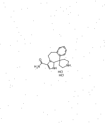 Cl.Cl.NC(=O)C1=CNC2N1CCc1ccccc1C21CCNCC1